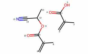 C=C(C)C(=O)O.C=C(C)C(=O)OC(C)C#N